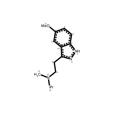 COc1ccc2[nH]nc(CCN(C)C(C)C)c2c1